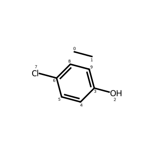 CC.Oc1ccc(Cl)cc1